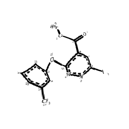 CC(C)OC(=O)c1cc(I)nnc1Oc1cccc(C(F)(F)F)c1